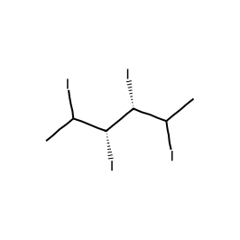 CC(I)[C@@H](I)[C@H](I)C(C)I